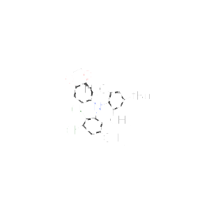 Cc1cc(Cl)c(Cl)c(N(c2ccc3c(c2)OCCO3)c2c(C)cc(C(C)(C)C)cc2C)c1